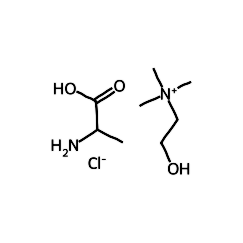 CC(N)C(=O)O.C[N+](C)(C)CCO.[Cl-]